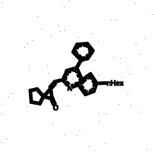 CCCCCCc1ccc2nc(/C=C3\C(=O)C34CCCC4)cc(-c3ccccc3)c2c1